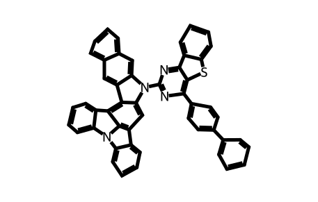 c1ccc(-c2ccc(-c3nc(-n4c5cc6ccccc6cc5c5c6c7ccccc7n7c8ccccc8c(cc54)c67)nc4c3sc3ccccc34)cc2)cc1